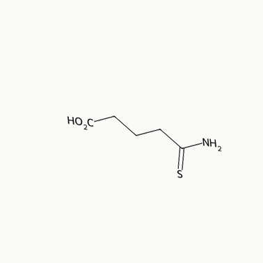 NC(=S)CCCC(=O)O